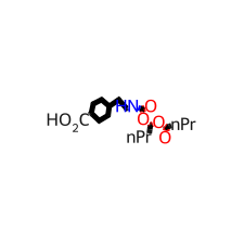 CCCC(=O)OC(CCC)OC(=O)NCCC1CCC(C(=O)O)CC1